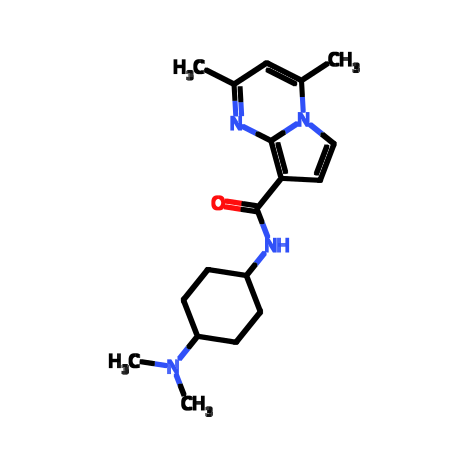 Cc1cc(C)n2ccc(C(=O)NC3CCC(N(C)C)CC3)c2n1